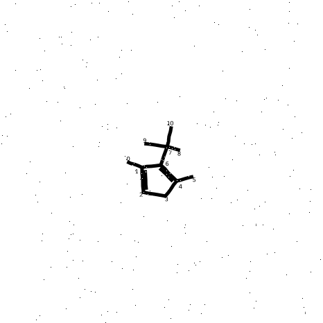 CC1=CCC(C)=C1C(C)(C)C